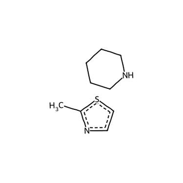 C1CCNCC1.Cc1nccs1